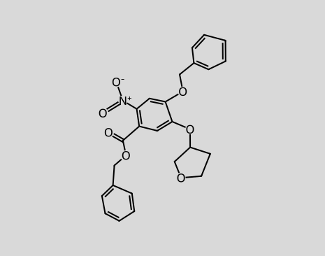 O=C(OCc1ccccc1)c1cc(OC2CCOC2)c(OCc2ccccc2)cc1[N+](=O)[O-]